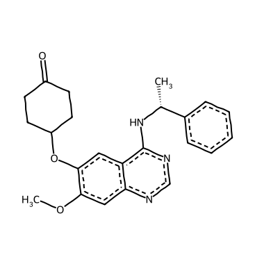 COc1cc2ncnc(N[C@H](C)c3ccccc3)c2cc1OC1CCC(=O)CC1